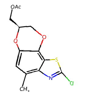 CC(=O)OC[C@H]1COc2c(cc(C)c3nc(Cl)sc23)O1